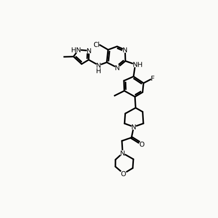 Cc1cc(Nc2nc(Nc3cc(C)c(C4CCN(C(=O)CN5CCOCC5)CC4)cc3F)ncc2Cl)n[nH]1